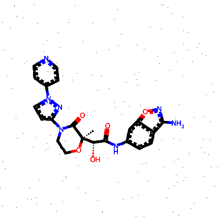 C[C@]1([C@@H](O)C(=O)Nc2ccc3c(N)noc3c2)OCCN(c2ccn(-c3ccncc3)n2)C1=O